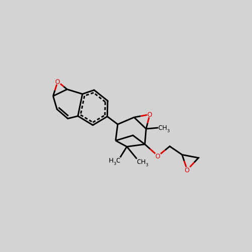 CC1(C)C2CC1(OCC1CO1)C1(C)OC1C2c1ccc2c(c1)C=CC1OC21